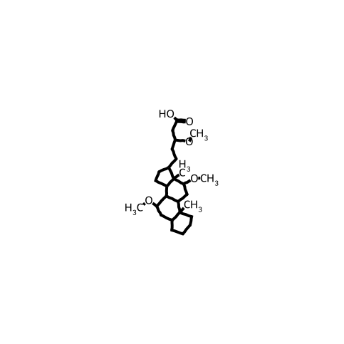 COC(CCC1CCC2C3C(OC)CC4CCCCC4(C)C3CC(OC)C12C)CC(=O)O